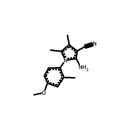 COc1ccc(-n2c(C)c(C)c(C#N)c2N)c(C)c1